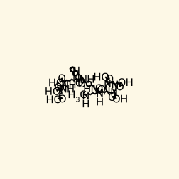 CNCCCCC(NC(=O)CN1CCN(CC(=O)O)CCN(CC(=O)O)CCN(CC(=O)O)CC1)C(=O)NCC1CCC(C(=O)NC(Cc2ccc3ccccc3c2)C(=O)NCCCCC(NC(=O)NC(CCC(=O)O)C(=O)O)C(=O)O)CC1